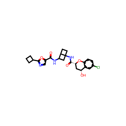 O=C(NC1CC2(NC(=O)[C@H]3C[C@@H](O)c4cc(Cl)ccc4O3)CCC12)c1cnc(C2CCC2)o1